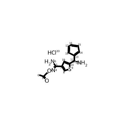 CC(=O)ON=C(N)c1csc([C@H](N)c2ccccc2)c1.Cl